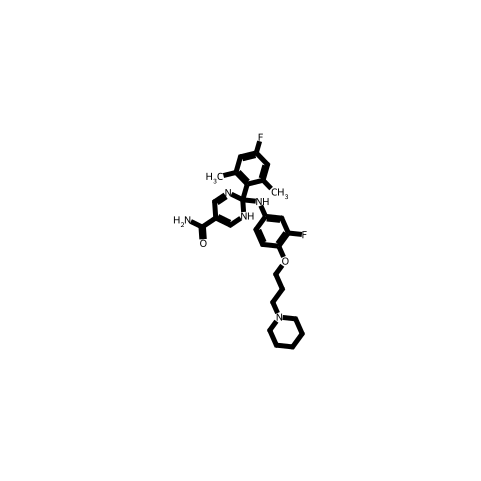 Cc1cc(F)cc(C)c1C1(Nc2ccc(OCCCN3CCCCC3)c(F)c2)N=CC(C(N)=O)=CN1